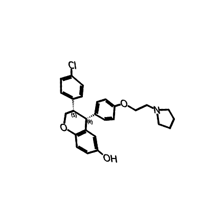 Oc1ccc2c(c1)[C@@H](c1ccc(OCCN3CCCC3)cc1)[C@@H](c1ccc(Cl)cc1)CO2